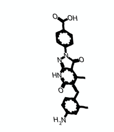 Cc1cc(N)ccc1/C=c1/c(C)c2c([nH]c1=O)=NN(c1ccc(C(=O)O)cc1)C2=O